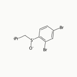 C[C](C)C[S+]([O-])c1ccc(Br)cc1Br